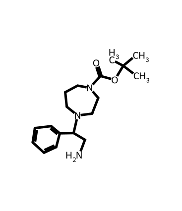 CC(C)(C)OC(=O)N1CCCN(C(CN)c2ccccc2)CC1